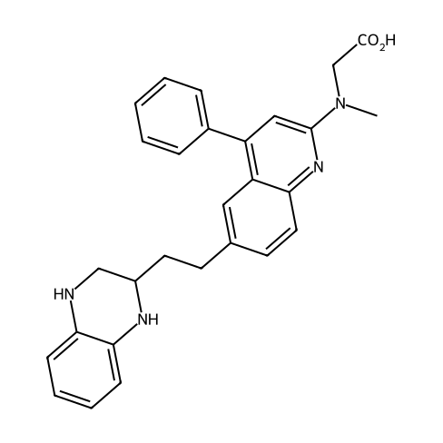 CN(CC(=O)O)c1cc(-c2ccccc2)c2cc(CCC3CNc4ccccc4N3)ccc2n1